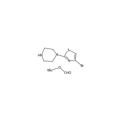 Brc1csc(N2CCNCC2)n1.CC(C)(C)OC=O